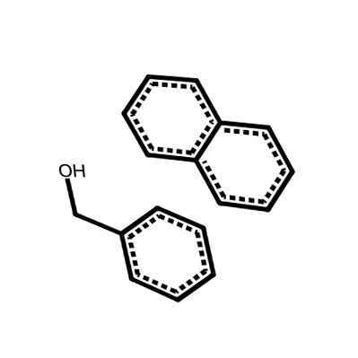 OCc1ccccc1.c1ccc2ccccc2c1